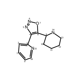 c1ccc(-c2nnoc2C2CCCC[N]2)nc1